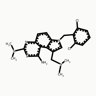 CN(C)Cc1cn(Cc2c(Cl)cccc2Cl)c2ccc3nc(N(C)C)nc(N)c3c12